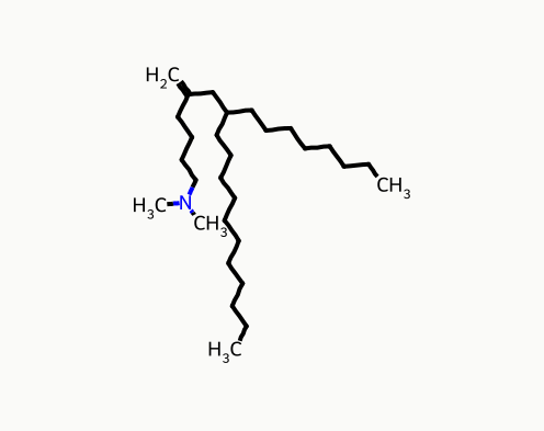 C=C(CCCCN(C)C)CC(CCCCCCCC)CCCCCCCCCCC